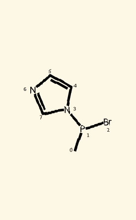 CP(Br)n1ccnc1